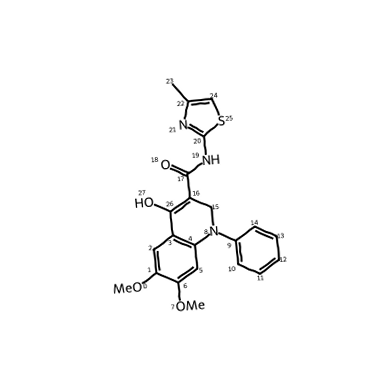 COc1cc2c(cc1OC)N(c1ccccc1)CC(C(=O)Nc1nc(C)cs1)=C2O